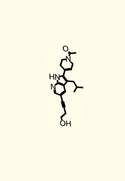 CC(=O)N1CC=C(c2[nH]c3ncc(C#CCCO)cc3c2CC(C)C)CC1